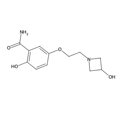 NC(=O)c1cc(OCCN2CC(O)C2)ccc1O